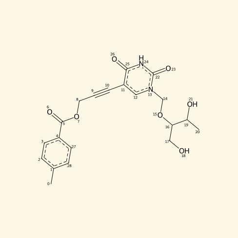 Cc1ccc(C(=O)OCC#Cc2cn(COC(CO)C(C)O)c(=O)[nH]c2=O)cc1